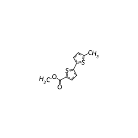 COC(=O)c1ccc(-c2ccc(C)s2)s1